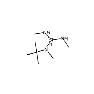 CN[SiH](NC)N(C)C(C)(C)C